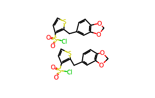 O=S(=O)(Cl)c1ccsc1Cc1ccc2c(c1)OCO2.O=S(=O)(Cl)c1ccsc1Cc1ccc2c(c1)OCO2